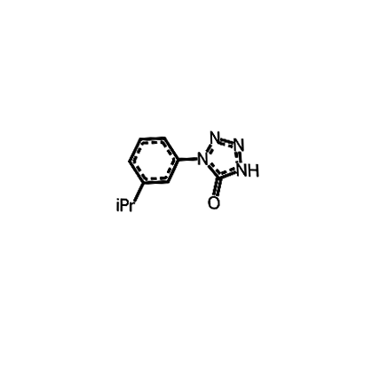 CC(C)c1cccc(-n2nn[nH]c2=O)c1